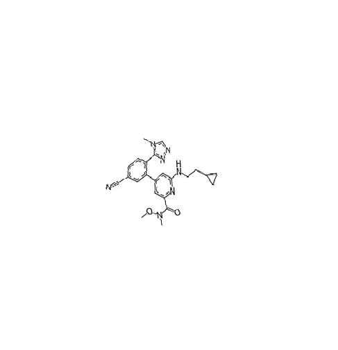 CON(C)C(=O)c1cc(-c2cc(C#N)ccc2-c2nncn2C)cc(NCCC2CC2)n1